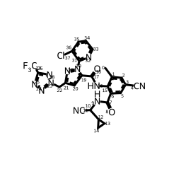 Cc1cc(C#N)cc(C(=O)NC(C#N)C2CC2)c1NC(=O)c1cc(Cn2nnc(C(F)(F)F)n2)nn1-c1ncccc1Cl